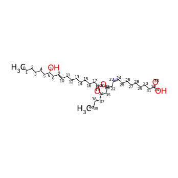 CCCCCCC(O)CC=CCCCCCCCC(=O)O[C@@H](C/C=C\CCCCCCCC(=O)O)CCCCCC